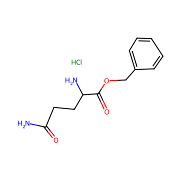 Cl.NC(=O)CCC(N)C(=O)OCc1ccccc1